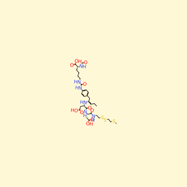 CC/C=C(\Cc1ccc(NC(=O)NCCCC[C@H](NC=O)C(=O)O)cc1)NC(CC(=O)O)C(=O)N[C@@H](CC(=O)O)C(=O)NCCSSCCSC